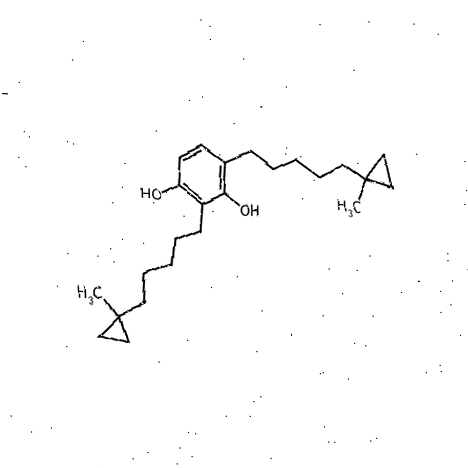 CC1(CCCCCc2ccc(O)c(CCCCCC3(C)CC3)c2O)CC1